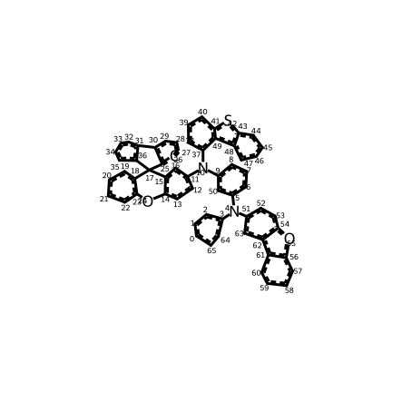 c1ccc(N(c2cccc(N(c3ccc4c(c3)C3(c5ccccc5O4)c4ccccc4-c4ccccc43)c3cccc4sc5ccccc5c34)c2)c2ccc3oc4ccccc4c3c2)cc1